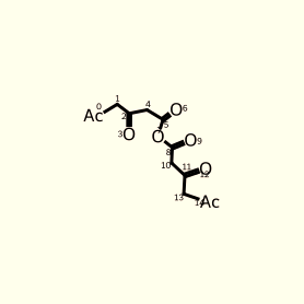 CC(=O)CC(=O)CC(=O)OC(=O)CC(=O)CC(C)=O